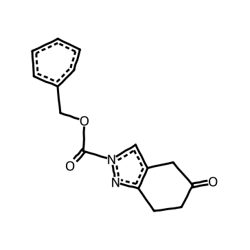 O=C1CCc2nn(C(=O)OCc3ccccc3)cc2C1